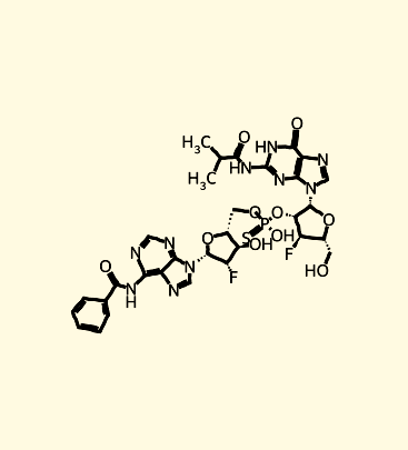 CC(C)C(=O)Nc1nc2c(ncn2[C@@H]2O[C@H](CO)[C@@H](F)[C@@H]2OP(O)(=S)OC[C@H]2O[C@@H](n3cnc4c(NC(=O)c5ccccc5)ncnc43)[C@@H](F)[C@@H]2O)c(=O)[nH]1